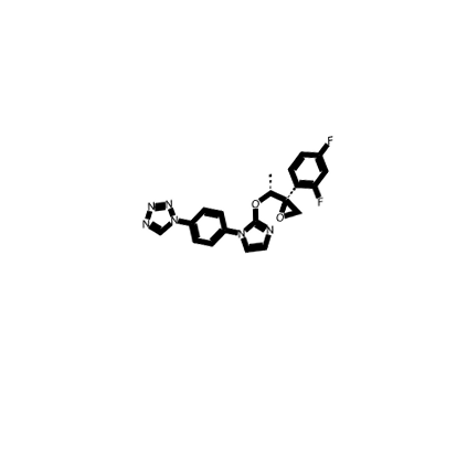 C[C@@H](Oc1nccn1-c1ccc(-n2cnnn2)cc1)[C@@]1(c2ccc(F)cc2F)CO1